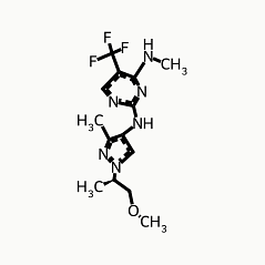 CNc1nc(Nc2cn([C@H](C)COC)nc2C)ncc1C(F)(F)F